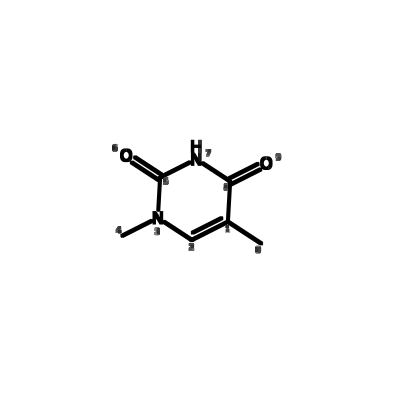 Cc1cn(C)c(=O)[nH]c1=O